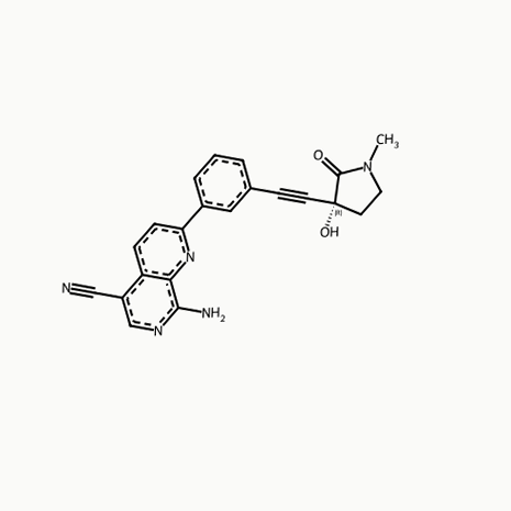 CN1CC[C@@](O)(C#Cc2cccc(-c3ccc4c(C#N)cnc(N)c4n3)c2)C1=O